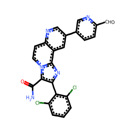 NC(=O)c1c(-c2c(Cl)cccc2Cl)nc2c3cc(-c4ccc(C=O)nc4)cnc3ccn12